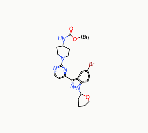 CC(C)(C)OC(=O)NC1CCN(c2nccc(-c3nn(C4CCCCO4)c4ccc(Br)cc34)n2)CC1